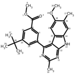 COC(=O)c1cc(-c2nc(C)nc3[nH]c4cc(C)c(OC)cc4c23)cc(C(C)(C)C)c1